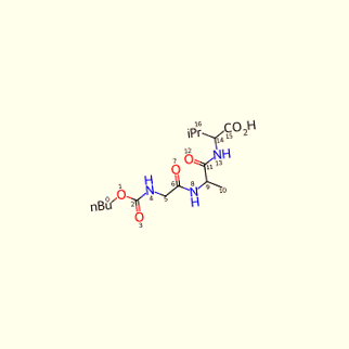 CCCCOC(=O)NCC(=O)NC(C)C(=O)NC(C(=O)O)C(C)C